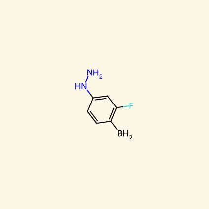 Bc1ccc(NN)cc1F